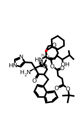 CC(C)C(O)CC(OC(=O)CCC(=O)OC(C)(C)C)[C@H](CC1CCCCC1)NC(=O)[C@@](N)(Cc1c[nH]cn1)C(=O)C(CC(=O)N1CCOCC1)Cc1cccc2ccccc12